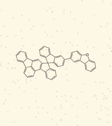 c1ccc2c(c1)-c1cccc3c4c(cc-2c13)C1(c2ccccc2-c2cc(-c3ccc5oc6ccccc6c5c3)ccc21)c1ccccc1-4